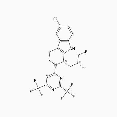 C[C@@H](CF)C[C@H]1c2[nH]c3ccc(Cl)cc3c2CCN1c1nc(C(F)(F)F)nc(C(F)(F)F)n1